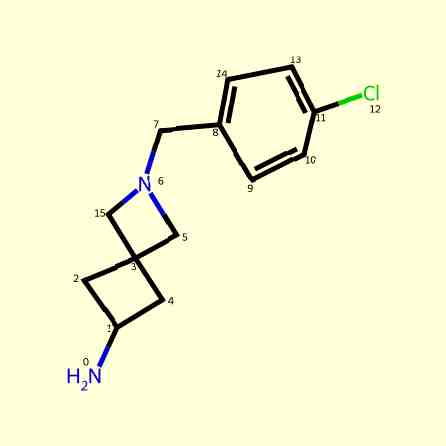 NC1CC2(C1)CN(Cc1ccc(Cl)cc1)C2